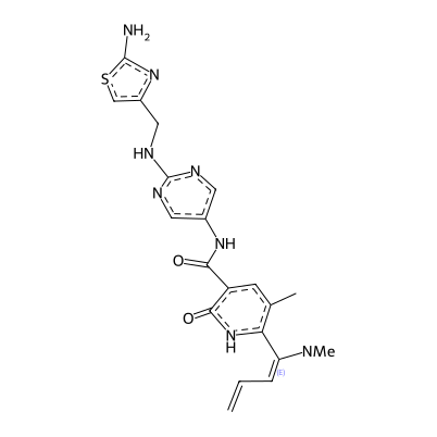 C=C/C=C(/NC)c1[nH]c(=O)c(C(=O)Nc2cnc(NCc3csc(N)n3)nc2)cc1C